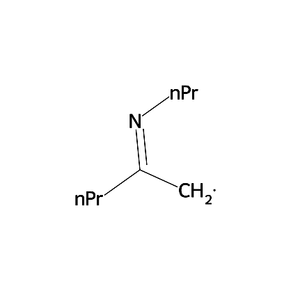 [CH2]C(CCC)=NCCC